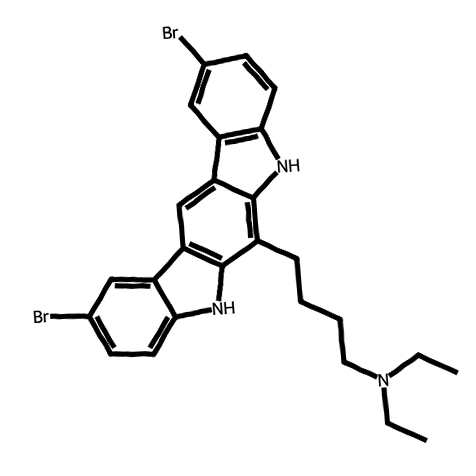 CCN(CC)CCCCc1c2[nH]c3ccc(Br)cc3c2cc2c1[nH]c1ccc(Br)cc12